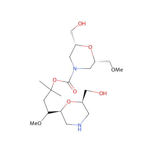 COC[C@@H]1CN(C(=O)OC(C)(C)CC(OC)[C@@H]2CNC[C@H](CO)O2)C[C@H](CO)O1